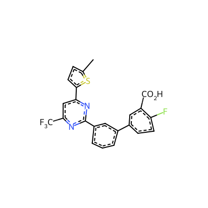 Cc1ccc(-c2cc(C(F)(F)F)nc(-c3cccc(-c4ccc(F)c(C(=O)O)c4)c3)n2)s1